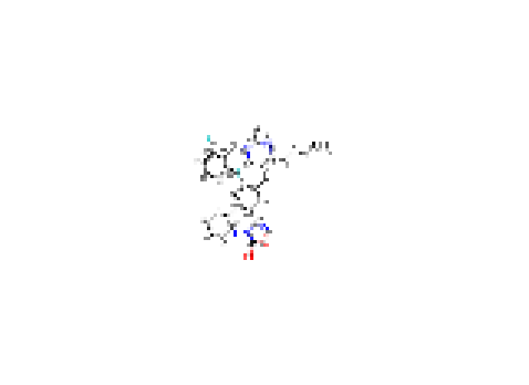 CCCCC1=C(Cc2ccc(-c3ccccc3)c(-c3noc(=O)[nH]3)c2)CN(Cc2c(F)cccc2F)C(C)=N1